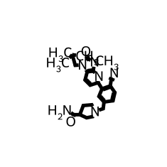 Cn1c(=O)n(CC(C)(C)C)c2ccc(-c3cc(CN4CCC(C(N)=O)CC4)ccc3C#N)nc21